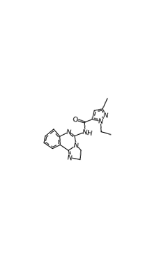 CCn1nc(C)cc1C(=O)NC1=Nc2ccccc2C2=NCCN12